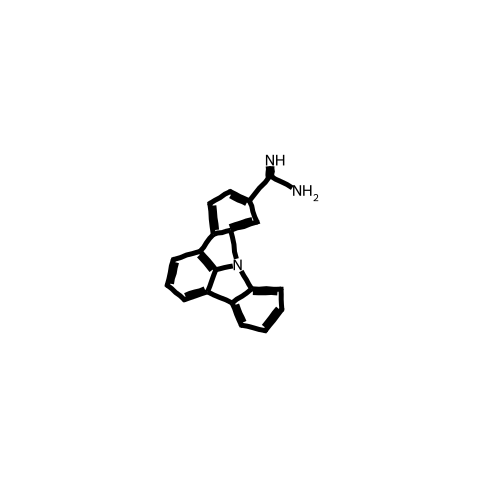 N=C(N)c1ccc2c3cccc4c5ccccc5n(c2c1)c43